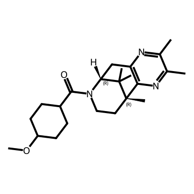 COC1CCC(C(=O)N2CC[C@@]3(C)c4nc(C)c(C)nc4C[C@@H]2C3(C)C)CC1